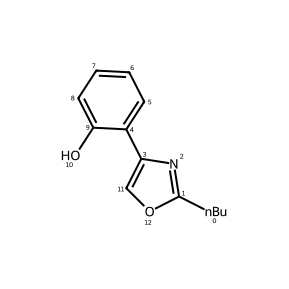 CCCCc1nc(-c2ccccc2O)co1